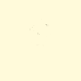 C[C@@H]1C2C[C@@H](C[C@H]1N1CC(=O)OB(/C=C/c3ccccc3)OC(=O)C1)C2(C)C